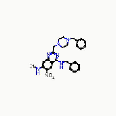 CCNc1cc2nc(CN3CCN(Cc4ccccc4)CC3)nc(NCc3ccccc3)c2cc1[N+](=O)[O-]